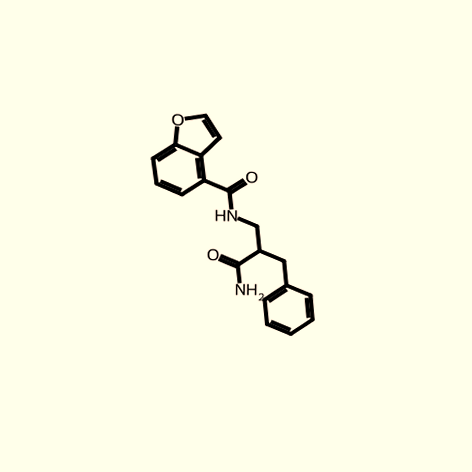 NC(=O)C(CNC(=O)c1cccc2occc12)Cc1ccccc1